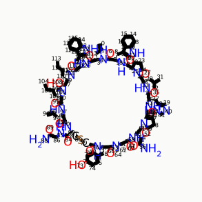 C=CC[C@@H]1NC(=O)[C@H](Cc2c[nH]c3ccccc23)NC(=O)C2CCCN2C(=O)[C@H](CC(C)C)NC(=O)[C@H](Cc2cnc[nH]2)NC(=O)[C@@H]2CCCN2C(=O)[C@H](CC(N)=O)NC(=O)[C@H](C)N(C)C(=O)[C@H](Cc2ccc(O)cc2)NC(=O)CSC[C@@H](C(=O)NCC(N)=O)NC(=O)[C@H](CC=C)NC(=O)[C@H](CCCC)N(C)C(O)[C@H](CCCC)N(C)C(=O)[C@H](Cc2c[nH]c3ccccc23)NC1=O